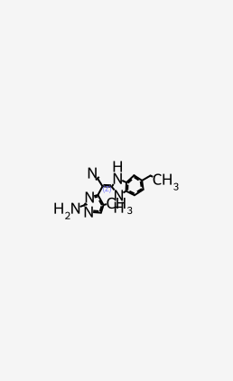 CCc1ccc2c(c1)N/C(=C(\C#N)c1nc(N)ncc1C)N2